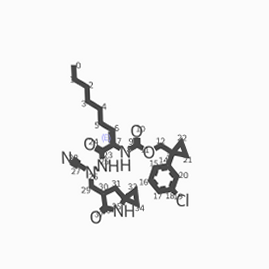 CCCCCC/C=C(/NC(=O)OCC1(c2cccc(Cl)c2)CC1)C(=O)NN(C#N)CC1CC2(CC2)NC1=O